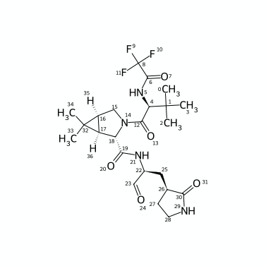 CC(C)(C)[C@H](NC(=O)C(F)(F)F)C(=O)N1C[C@H]2[C@@H]([C@H]1C(=O)N[C@H](C=O)C[C@@H]1CCNC1=O)C2(C)C